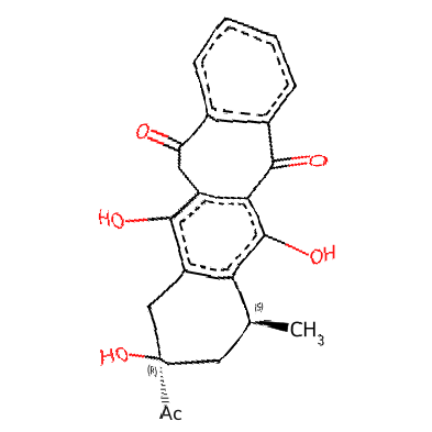 CC(=O)[C@]1(O)Cc2c(O)c3c(c(O)c2[C@@H](C)C1)C(=O)c1ccccc1C3=O